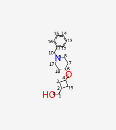 OC[C@H]1C[C@@H](OC2CCN(Cc3ccccc3)CC2)C1